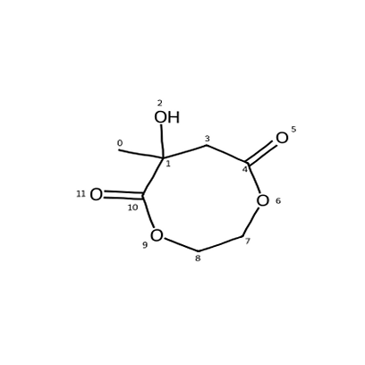 CC1(O)CC(=O)OCCOC1=O